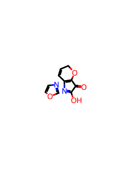 O=C1C(O)=NC2=C1OCC=C2.c1cocn1